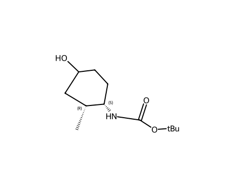 C[C@@H]1CC(O)CC[C@@H]1NC(=O)OC(C)(C)C